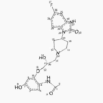 CC(=O)Nc1ccc(O)cc1OC[C@H](O)CN1CCC(n2c(=O)[nH]c3cc(F)ccc32)CC1